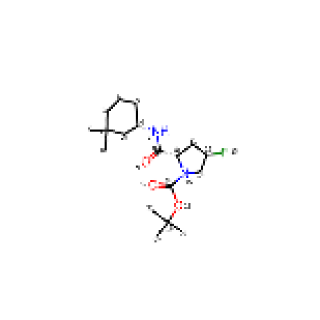 CC1(C)CCC[C@H](NC(=O)[C@@H]2C[C@@H](F)CN2C(=O)OC(C)(C)C)C1